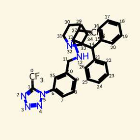 FC(F)(F)c1nnnn1-c1cccc(CNC2(C(c3ccccc3)c3ccccc3)C(C(F)(F)F)C3CCN2CC3)c1